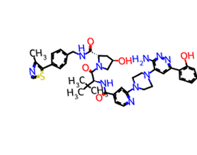 Cc1ncsc1-c1ccc(CNC(=O)[C@@H]2C[C@@H](O)CN2C(=O)[C@@H](NC(=O)c2ccnc(N3CCN(c4cc(-c5ccccc5O)nnc4N)CC3)c2)C(C)(C)C)cc1